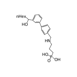 CCCCCCC(O)c1cccc(-c2ccc(CNCCCP(=O)(O)O)cc2)c1